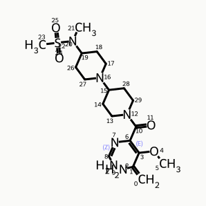 C=C(N)/C(OC)=C(\N=C/N)C(=O)N1CCC(N2CCC(N(C)S(C)(=O)=O)CC2)CC1